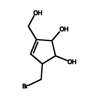 OCC1=CC(CBr)C(O)C1O